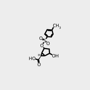 Cc1ccc(S(=O)(=O)OC2CC(O)C3C2[C@@H]3C(=O)O)cc1